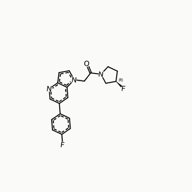 O=C(Cn1ccc2ncc(-c3ccc(F)cc3)cc21)N1CC[C@@H](F)C1